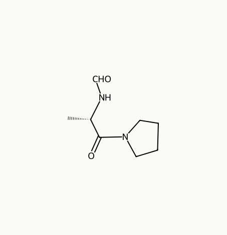 C[C@H](NC=O)C(=O)N1CCCC1